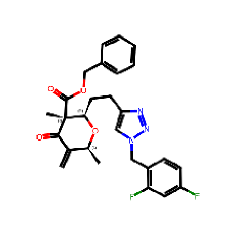 C=C1C(=O)[C@](C)(C(=O)OCc2ccccc2)[C@@H](CCc2cn(Cc3ccc(F)cc3F)nn2)O[C@H]1C